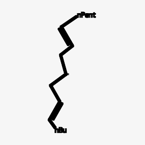 CCCCC=CC[CH]CC=CCCCCC